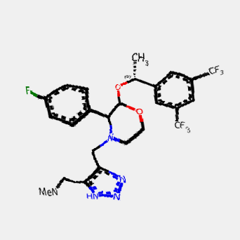 CNCc1[nH]nnc1CN1CCOC(O[C@H](C)c2cc(C(F)(F)F)cc(C(F)(F)F)c2)C1c1ccc(F)cc1